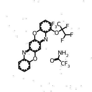 FC(F)C(F)(Oc1cccc2c1N=c1cc3c(cc1O2)=Nc1ccccc1O3)C(F)(F)F.NC(=O)C(F)(F)F